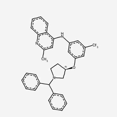 Cc1cc(Nc2cc(O[C@@H]3CCN(C(c4ccccc4)c4ccccc4)C3)cc(C(F)(F)F)c2)c2ccccc2n1